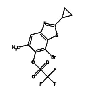 Cc1cc2nc(C3CC3)sc2c(Br)c1OS(=O)(=O)C(F)(F)F